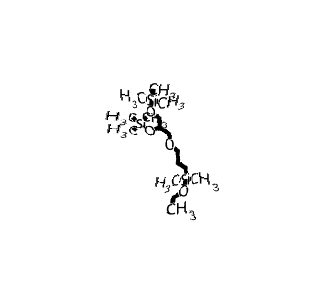 CCO[Si](C)(C)CCCOCC(CO[Si](C)(C)C)O[Si](C)(C)C